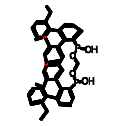 CCc1ccccc1-c1cccc(P(O)OCOP(O)c2cccc(-c3ccccc3CC)c2-c2ccccc2CC)c1-c1ccccc1CC